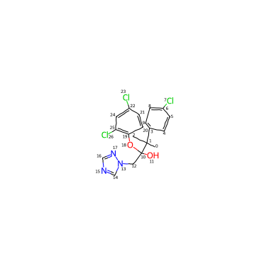 CC(C)(c1ccc(Cl)cc1)C(O)(Cn1cncn1)Oc1ccc(Cl)cc1Cl